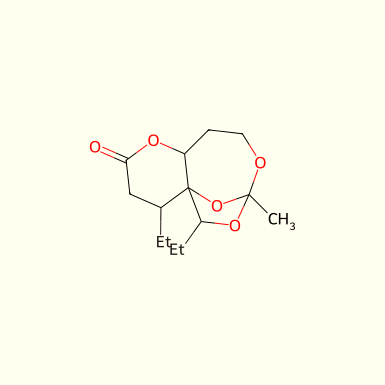 CCC1CC(=O)OC2CCOC3(C)OC(CC)C12O3